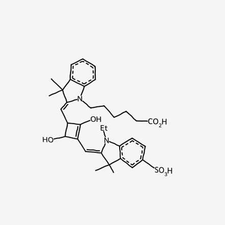 CCN1C(=CC2=C(O)C(C=C3N(CCCCCC(=O)O)c4ccccc4C3(C)C)C2O)C(C)(C)c2cc(S(=O)(=O)O)ccc21